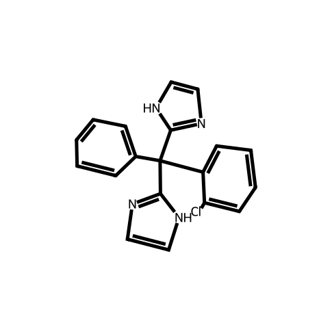 Clc1ccccc1C(c1ccccc1)(c1ncc[nH]1)c1ncc[nH]1